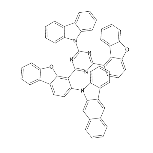 c1ccc2cc3c(cc2c1)c1ccccc1n3-c1ccc2c(oc3ccccc32)c1-c1nc(-c2cccc3oc4ccccc4c23)nc(-n2c3ccccc3c3ccccc32)n1